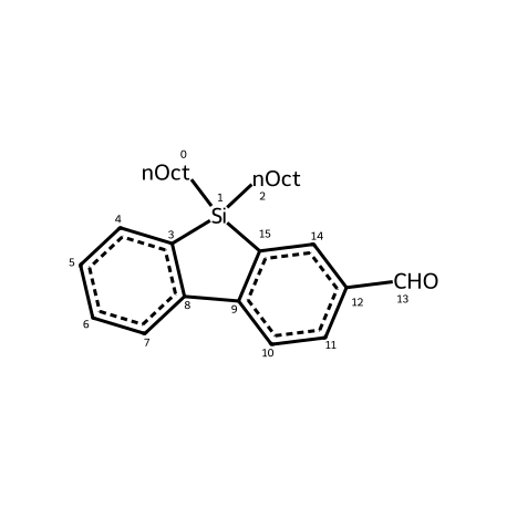 CCCCCCCC[Si]1(CCCCCCCC)c2ccccc2-c2ccc(C=O)cc21